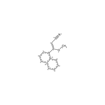 COC(=CC#N)c1cccc2ccccc12